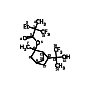 CCC(C)(C(=O)OC1(C)CC2CC1C(C(C)(O)C(F)(F)F)C2)C(F)(F)F